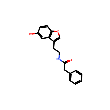 O=C(Cc1ccccc1)NCCc1coc2ccc(O)cc12